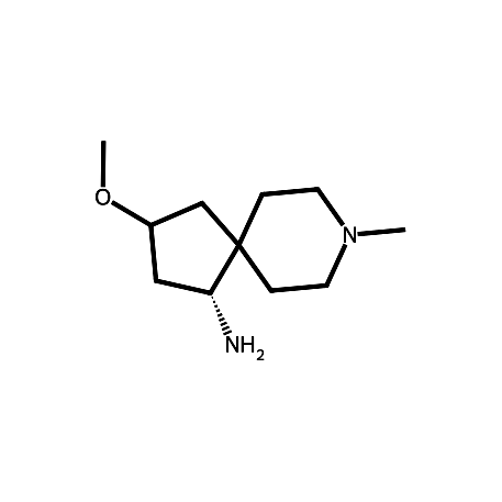 COC1C[C@@H](N)C2(CCN(C)CC2)C1